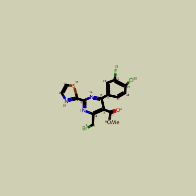 COC(=O)c1c(CBr)nc(-c2nccs2)nc1-c1ccc(Cl)c(F)c1